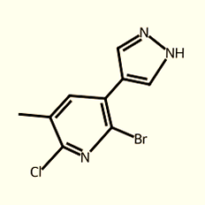 Cc1cc(-c2cn[nH]c2)c(Br)nc1Cl